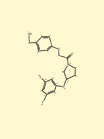 O=C(COc1ccc(CO)cc1)N1CCC(Oc2cc(F)cc(F)c2)C1